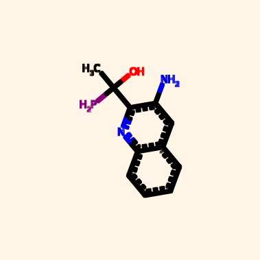 CC(O)(P)c1nc2ccccc2cc1N